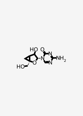 Nc1ncn([C@@H]2O[C@@]3(CO)CC3C2O)c(=O)n1